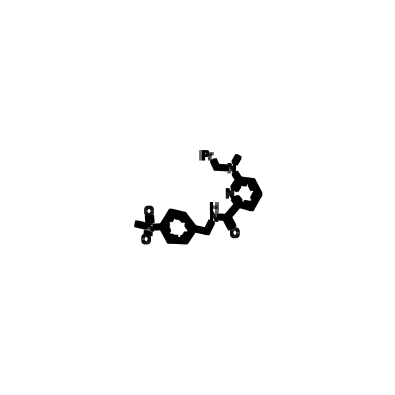 CC(C)CN(C)c1cccc(C(=O)NCc2ccc(S(C)(=O)=O)cc2)n1